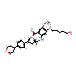 COc1cc2c(cc1OCCCCCBr)NC[C@@H]1CC(c3ccc(C4CCOCC4)cc3)=CN1C2=O